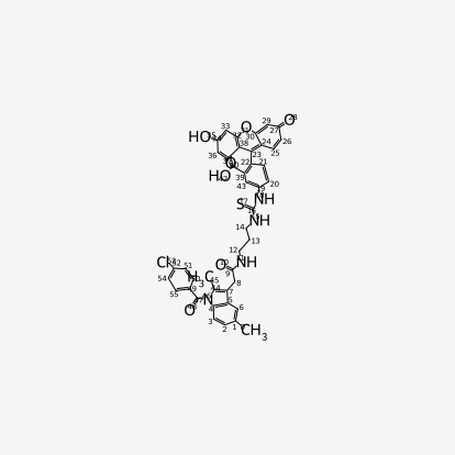 Cc1ccc2c(c1)c(CC(=O)NCCCNC(=S)Nc1ccc(-c3c4ccc(=O)cc-4oc4cc(O)ccc34)c(C(=O)O)c1)c(C)n2C(=O)c1ccc(Cl)cc1